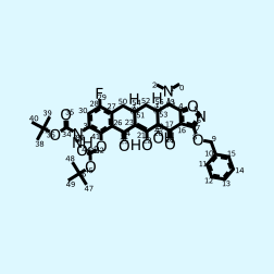 CN(C)[C@@H]1c2onc(OCc3ccccc3)c2C(=O)[C@@]2(O)C(O)=C3C(=O)c4c(c(F)cc(N(N)C(=O)OC(C)(C)C)c4OC(=O)OC(C)(C)C)C[C@H]3C[C@@H]12